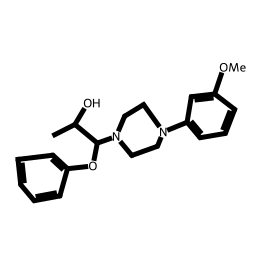 COc1cccc(N2CCN(C(Oc3ccccc3)C(C)O)CC2)c1